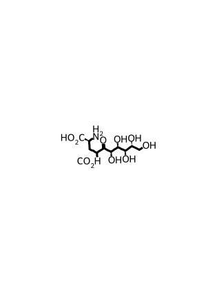 N[C@@H](CC(C(=O)O)C(=O)[C@H](O)[C@@H](O)[C@H](O)[C@H](O)CO)C(=O)O